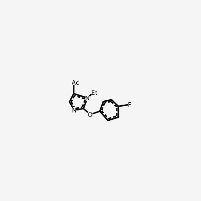 CCn1c(C(C)=O)cnc1Oc1ccc(F)cc1